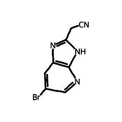 N#CCc1nc2cc(Br)cnc2[nH]1